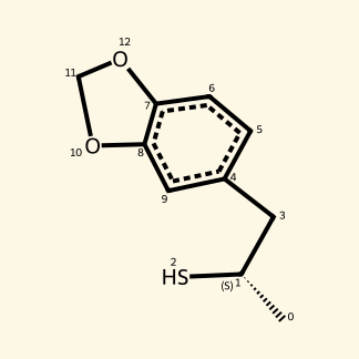 C[C@H](S)Cc1ccc2c(c1)OCO2